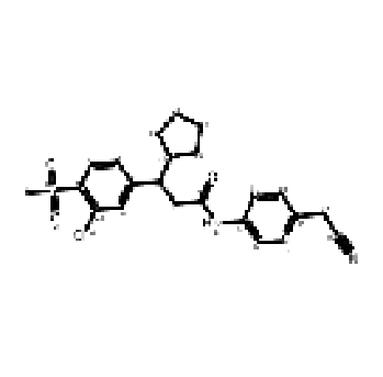 CS(=O)(=O)c1ccc(C(CC(=O)Nc2cnc(CC#N)cn2)C2CCCC2)cc1Cl